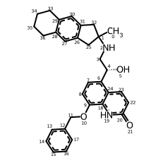 CC1(NC[C@H](O)c2ccc(OCc3ccccc3)c3[nH]c(=O)ccc23)Cc2cc3c(cc2C1)CCCC3